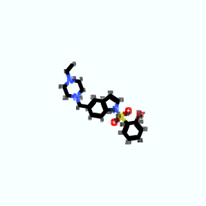 CCN1CCN(Cc2ccc3c(ccn3S(=O)(=O)c3ccccc3Br)c2)CC1